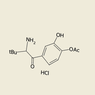 CC(=O)Oc1ccc(C(=O)C(N)C(C)(C)C)cc1O.Cl